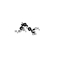 CC#C[C@@H](CC(=O)O)c1ccc(OCc2ccc3scc(-c4ccc(OC)nc4C)c3c2)cc1